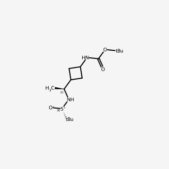 C[C@H](N[S@@+]([O-])C(C)(C)C)C1CC(NC(=O)OC(C)(C)C)C1